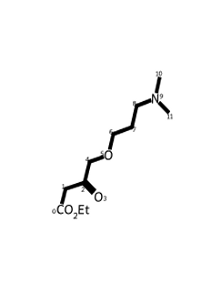 CCOC(=O)CC(=O)COCCCN(C)C